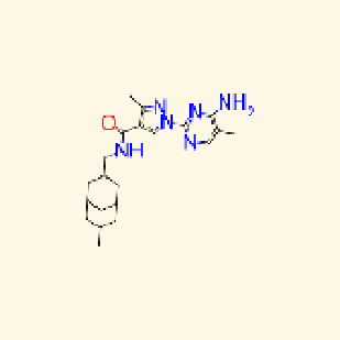 Cc1cnc(-n2cc(C(=O)NCC3CC4CC(C)CC(C3)C4)c(C)n2)nc1N